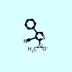 C[S+]([O-])c1scc(-c2ccccc2)c1C#N